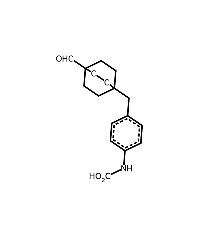 O=CC12CCC(Cc3ccc(NC(=O)O)cc3)(CC1)CC2